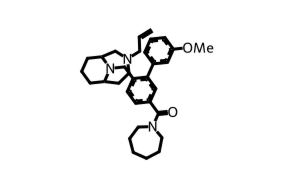 C=CCN1CCC2CCCC(C1)N2Cc1ccc(C(=O)N2CCCCCC2)cc1-c1cccc(OC)c1